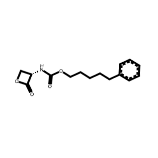 O=C(N[C@H]1COC1=O)OCCCCCc1ccccc1